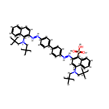 CC(C)(C)CN(CC(C)(C)C)c1c(/N=N/c2ccc(-c3ccc(/N=N/c4cc(N(CC(C)(C)C)CC(C)(C)C)c5ccccc5c4S(=O)(=O)O)cc3)cc2)ccc2ccccc12